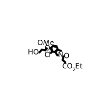 CCOC(=O)CCC(=O)N1Cc2cc(OC)c(OCCCO)c(Cl)c2C1